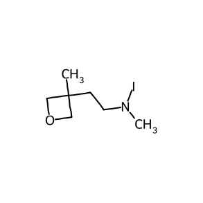 CN(I)CCC1(C)COC1